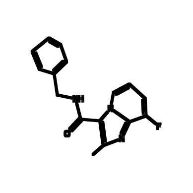 Cc1nc2c(F)cccn2c1C(=O)NCc1ccccc1